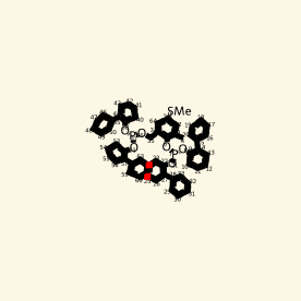 CSc1cc(C)c(OP(Oc2ccccc2-c2ccccc2)Oc2ccccc2-c2ccccc2)c(COP(Oc2ccccc2-c2ccccc2)Oc2ccccc2-c2ccccc2)c1